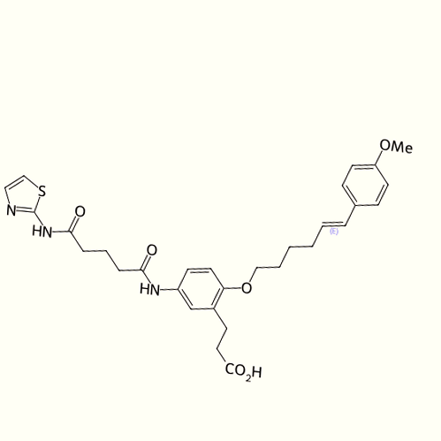 COc1ccc(/C=C/CCCCOc2ccc(NC(=O)CCCC(=O)Nc3nccs3)cc2CCC(=O)O)cc1